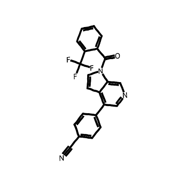 N#Cc1ccc(-c2cncc3c2ccn3C(=O)c2ccccc2C(F)(F)F)cc1